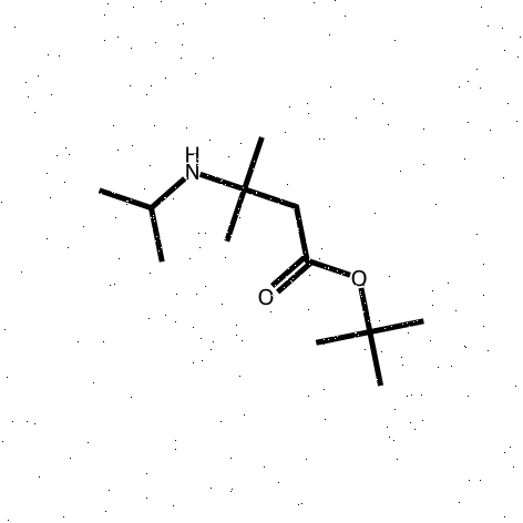 CC(C)NC(C)(C)CC(=O)OC(C)(C)C